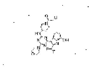 O=C(CCl)N1CCC(Nc2nc(N3CCOCC3)nc(-n3c(C(F)F)nc4c(O)cccc43)n2)CC1